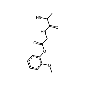 COc1ccccc1OC(=O)CNC(=O)C(C)S